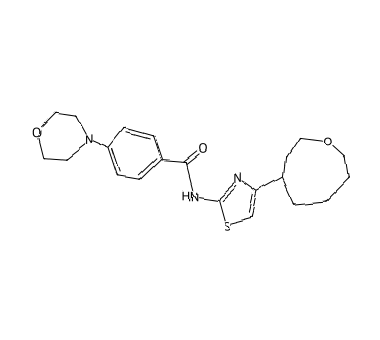 O=C(Nc1nc(C2CCCCOCC2)cs1)c1ccc(N2CCOCC2)cc1